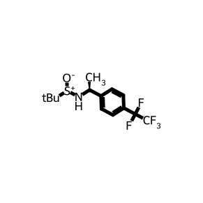 C[C@H](N[S+]([O-])C(C)(C)C)c1ccc(C(F)(F)C(F)(F)F)cc1